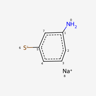 Nc1cccc([S-])c1.[Na+]